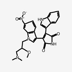 COC(CN(C)C)Cn1cc(C2=C(c3c[nH]c4ccccc34)C(=O)NC2=O)c2ccc([N+](=O)[O-])cc21